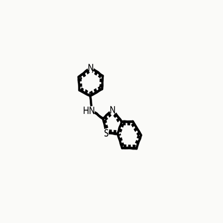 c1ccc2sc(Nc3ccncc3)nc2c1